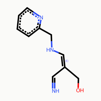 N=C/C(=C\NCc1ccccn1)CO